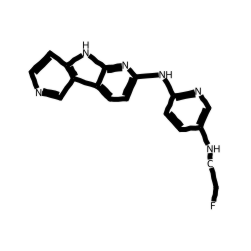 FCCNc1ccc(Nc2ccc3c(n2)[nH]c2ccncc23)nc1